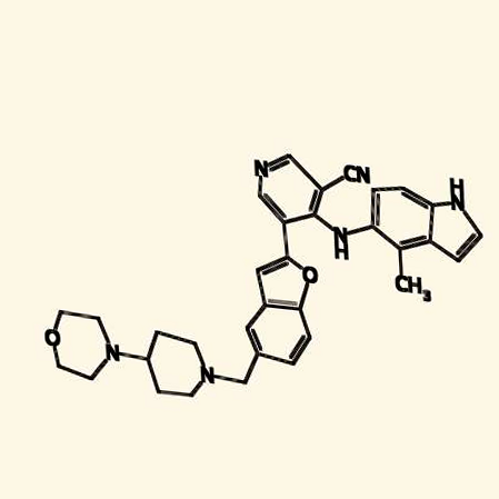 Cc1c(Nc2c(C#N)cncc2-c2cc3cc(CN4CCC(N5CCOCC5)CC4)ccc3o2)ccc2[nH]ccc12